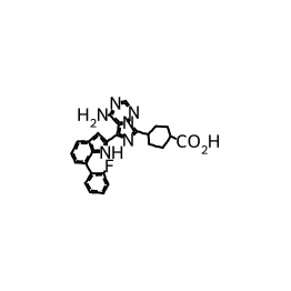 Nc1ncnn2c(C3CCC(C(=O)O)CC3)nc(-c3cc4cccc(-c5ccccc5F)c4[nH]3)c12